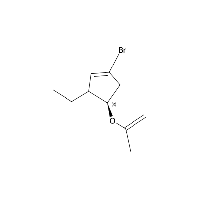 C=C(C)O[C@@H]1CC(Br)=CC1CC